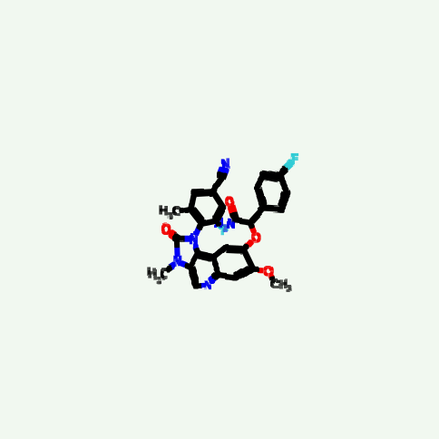 COc1cc2ncc3c(c2cc1OC(C(N)=O)c1ccc(F)cc1)n(-c1c(C)cc(C#N)cc1F)c(=O)n3C